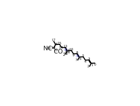 CC(C)=CCC/C(C)=C/CC/C(C)=C/CCC(C)C(C#N)C(=O)O